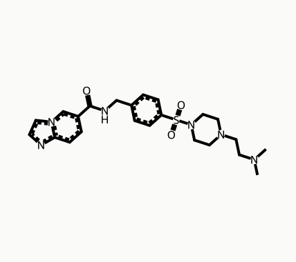 CN(C)CCN1CCN(S(=O)(=O)c2ccc(CNC(=O)c3ccc4nccn4c3)cc2)CC1